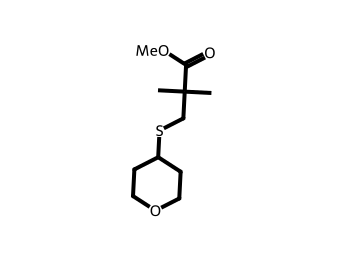 COC(=O)C(C)(C)CSC1CCOCC1